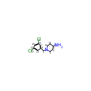 NC1CCN(Cc2cc(Cl)cc(Cl)c2)CC1